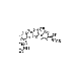 CCNC(=O)Nc1cccc(CN2CCN(c3ccc(C(=O)NC)nc3C(F)(F)F)CC2)c1